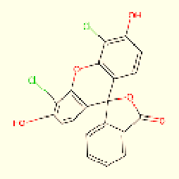 O=C1OC2(c3ccccc31)c1ccc(O)c(Cl)c1Oc1c2ccc(O)c1Cl